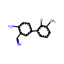 Cc1cccc(-c2ccc(N)c(C=N)c2)c1Cl